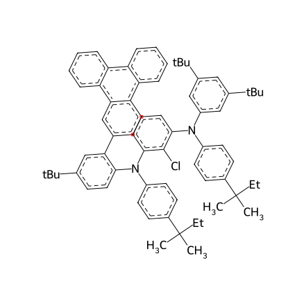 CCC(C)(C)c1ccc(N(c2cc(C(C)(C)C)cc(C(C)(C)C)c2)c2cccc(N(c3ccc(C(C)(C)CC)cc3)c3ccc(C(C)(C)C)cc3-c3ccc4c5ccccc5c5ccccc5c4c3)c2Cl)cc1